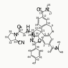 C=C(c1ccc2c(c1)CCc1cc(C(=O)N(C)C)ccc1C2(C[C@@H](C)NCC(=O)N1CCCC1C#N)c1nnc(-c2ccc(C)cc2)o1)N(C)C